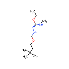 CCO/C(=N/NCOCC[Si](C)(C)C)NC